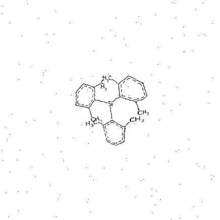 Cc1cccc(C)c1[Si](c1c(C)cccc1C)c1c(C)cccc1C